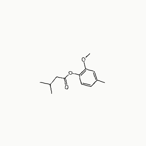 COc1cc(C)ccc1OC(=O)CC(C)C